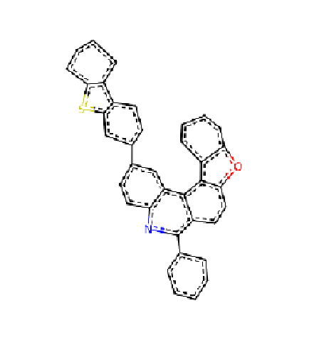 c1ccc(-c2nc3ccc(-c4ccc5c(c4)sc4ccccc45)cc3c3c2ccc2oc4ccccc4c23)cc1